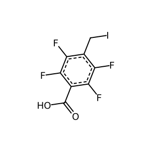 O=C(O)c1c(F)c(F)c(CI)c(F)c1F